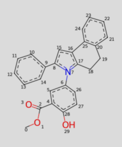 COC(=O)c1cc(-n2c(-c3ccccc3)cc3c2CCc2ccccc2-3)ccc1O